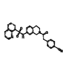 N#Cc1ccc(CC(=O)N2CCc3ccc(NS(=O)(=O)c4cccc5cccnc45)cc3C2)cc1